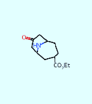 CCOC(=O)C1CCC2CC(=O)CC(C1)N2